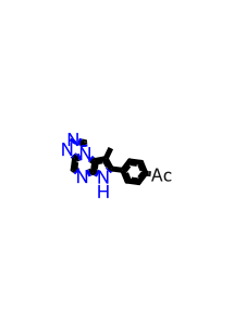 CC(=O)c1ccc(-c2[nH]c3ncc4nncn4c3c2C)cc1